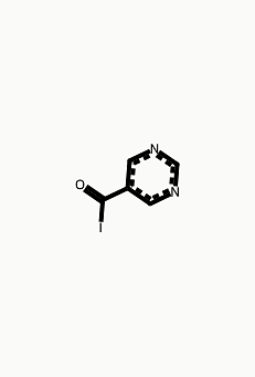 O=C(I)c1cncnc1